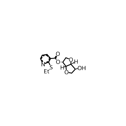 CCSc1ncccc1C(=O)O[C@@H]1CO[C@H]2[C@@H]1OC[C@@H]2O